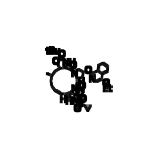 CCOc1cnc(O[C@@H]2C[C@H]3C(=O)N[C@]4(C(=O)NS(=O)(=O)C5CC5)C[C@H]4/C=C\CC[C@@H](C)C[C@@H](C)C(NC(=O)OC(C)(C)C)C(=O)N3C2)c2ccccc12